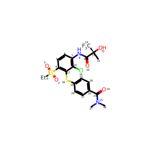 CCS(=O)(=O)c1ccc(NC(=O)[C@@](C)(O)C(F)(F)F)c(Cl)c1Sc1ccc(C(=O)N(C)C)cc1